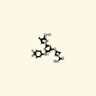 Cc1cn(-c2nc(NC3CCC(F)(F)CC3)cc(OC3CN(C(=O)C(C)(C)C)C3)n2)nc1C=O